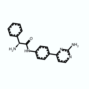 Nc1nccc(-c2ccc(NC(=O)[C@@H](N)c3ccccc3)cc2)n1